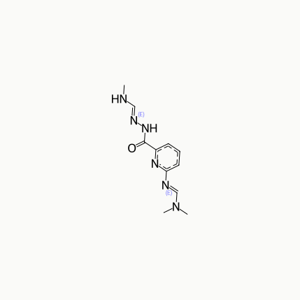 CN/C=N/NC(=O)c1cccc(/N=C/N(C)C)n1